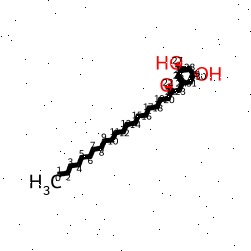 CCCCCCCCCCCCCCCCCCCCCC(=O)Cc1cc(O)cc(O)c1